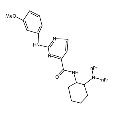 CCCN(CCC)C1CCCCC1NC(=O)c1ccnc(Nc2cccc(OC)c2)n1